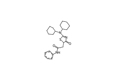 O=C(CC1SC(N(C2CCCCC2)C2CCCCC2)=NC1=O)Nc1ccccc1